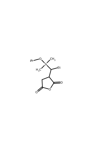 CCC(C1CC(=O)OC1=O)[Si](C)(C)OC(C)C